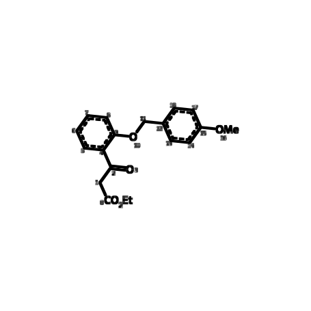 CCOC(=O)CC(=O)c1ccccc1OCc1ccc(OC)cc1